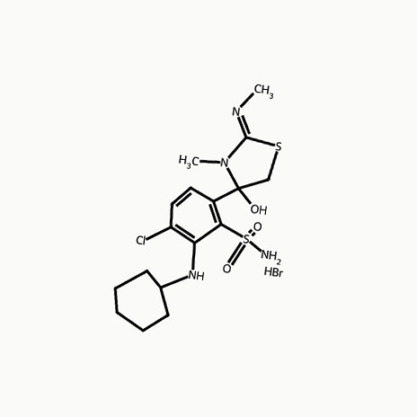 Br.CN=C1SCC(O)(c2ccc(Cl)c(NC3CCCCC3)c2S(N)(=O)=O)N1C